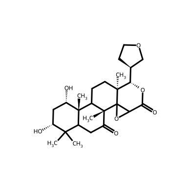 CC1(C)C2CC(=O)[C@]3(C)C(CC[C@@]4(C)[C@H]([C@H]5CCOC5)OC(=O)C5OC543)[C@@]2(C)[C@@H](O)C[C@H]1O